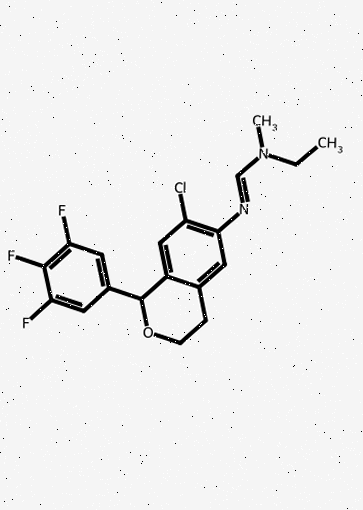 CCN(C)/C=N/c1cc2c(cc1Cl)C(c1cc(F)c(F)c(F)c1)OCC2